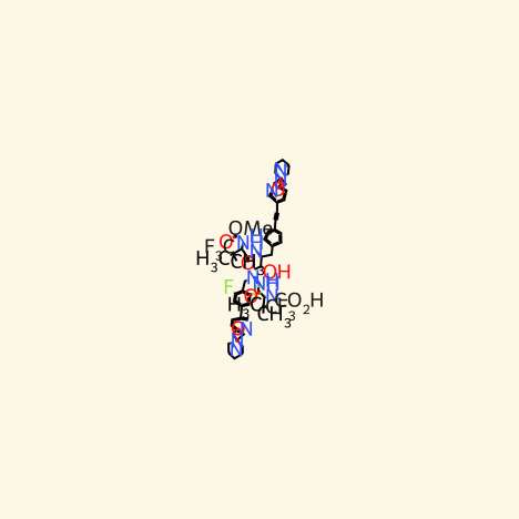 COC(=O)NC(C(=O)NC(Cc1ccc(C#Cc2ccc(N3CC4CC(C3)N4C3COC3)nc2)cc1)C(O)CN(Cc1c(F)cc(-c2ccc(N3CC4CC(C3)N4C3COC3)nc2)cc1F)NC(=O)C(NC(=O)O)C(C)(C)C(F)(F)F)C(C)(C)C(F)(F)F